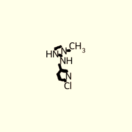 CCN1CCNC1NCc1ccc(Cl)nc1